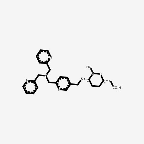 O=C(O)C[C@@H]1CC[C@H](SCc2ccc(CN(Cc3ccccn3)Cc3ccccn3)nc2)B(O)O1